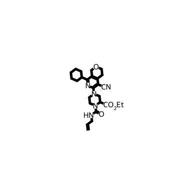 C=CCNC(=O)N1CCN(c2nc(C3CCCCC3)c3c(c2C#N)CCOC3)CC1C(=O)OCC